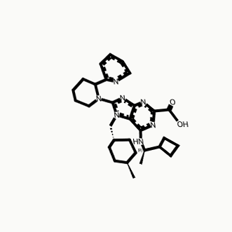 C[C@@H](Nc1nc(C(=O)O)nc2nc(N3CCCCC3c3ccccn3)n(C[C@H]3CC[C@H](C)CC3)c12)C1CCC1